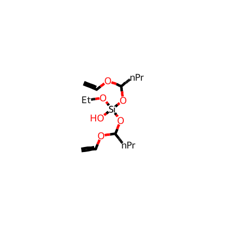 C=COC(CCC)O[Si](O)(OCC)OC(CCC)OC=C